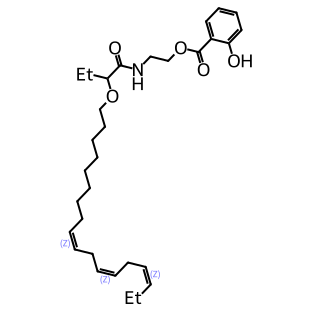 CC/C=C\C/C=C\C/C=C\CCCCCCCCOC(CC)C(=O)NCCOC(=O)c1ccccc1O